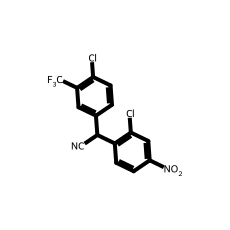 N#CC(c1ccc(Cl)c(C(F)(F)F)c1)c1ccc([N+](=O)[O-])cc1Cl